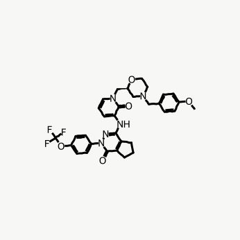 COc1ccc(CN2CCO[C@H](Cn3cccc(Nc4nn(-c5ccc(OC(F)(F)F)cc5)c(=O)c5c4CCC5)c3=O)C2)cc1